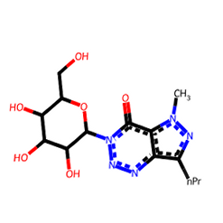 CCCc1nn(C)c2c(=O)n(C3OC(CO)C(O)C(O)C3O)nnc12